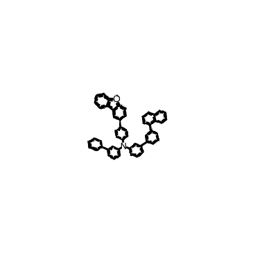 c1ccc(-c2cccc(N(c3ccc(-c4ccc5oc6ccccc6c5c4)cc3)c3cccc(-c4cccc(-c5cccc6ccccc56)c4)c3)c2)cc1